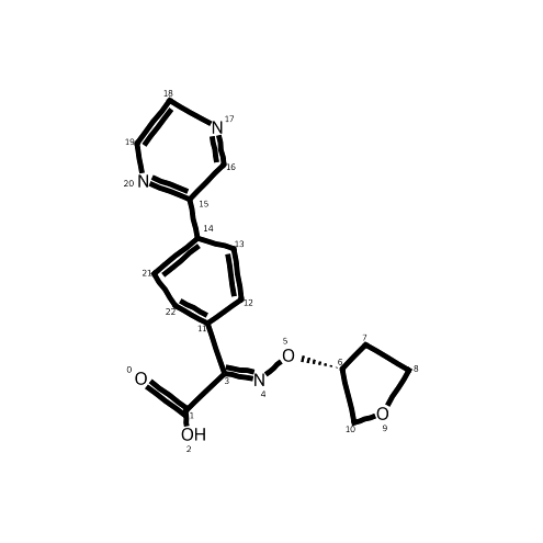 O=C(O)/C(=N/O[C@@H]1CCOC1)c1ccc(-c2cnccn2)cc1